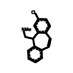 CNCC1c2ccccc2C=Cc2ccc(Cl)cc21